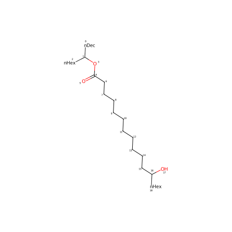 [CH2]CCCCCCCCCC(CCCCCC)OC(=O)CCCCCCCCCCC(O)CCCCCC